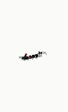 CCNC(=S)NC[C@H]1CN(c2ccc(N3CCN(c4cc5c(cc4F)c(=O)c(C(=O)O)cn5C4CC4)CC3)c(F)c2)C(=O)O1